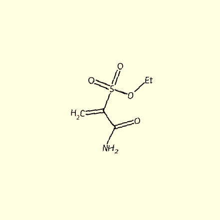 C=C(C(N)=O)S(=O)(=O)OCC